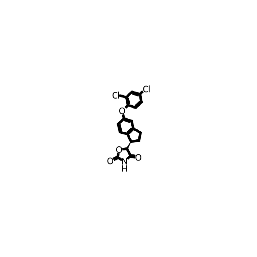 O=C1NC(=O)C([C@@H]2CCc3cc(Oc4ccc(Cl)cc4Cl)ccc32)O1